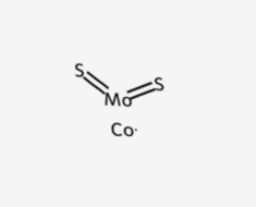 [Co].[S]=[Mo]=[S]